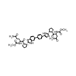 COC(=O)NC(CC(N)=O)C(=O)N1CCC[C@H]1c1ncc(-c2ccc(-c3ccc4nc([C@@H]5CCCN5C(=O)[C@H](CCC(N)=O)NC(=O)OC)[nH]c4c3)cc2)[nH]1